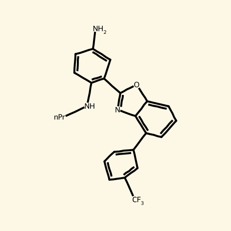 CCCNc1ccc(N)cc1-c1nc2c(-c3cccc(C(F)(F)F)c3)cccc2o1